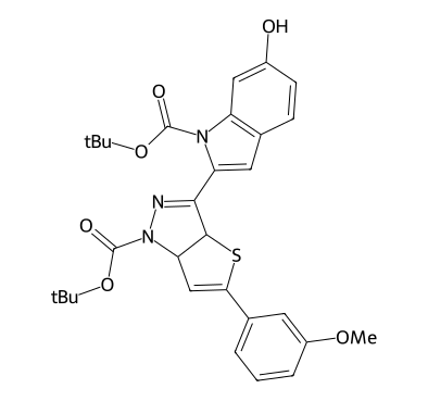 COc1cccc(C2=CC3C(S2)C(c2cc4ccc(O)cc4n2C(=O)OC(C)(C)C)=NN3C(=O)OC(C)(C)C)c1